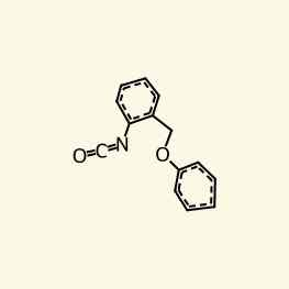 O=C=Nc1ccccc1COc1ccccc1